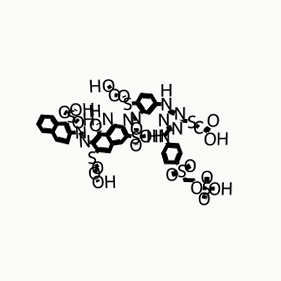 Nc1c(N=Nc2cc(Nc3nc(Nc4ccc(S(=O)(=O)CCOS(=O)(=O)O)cc4)nc(SCC(=O)O)n3)ccc2SOOO)c(S(=O)(=O)O)cc2cc(SOOO)c(N=Nc3ccc4ccccc4c3S(=O)(=O)O)c(O)c12